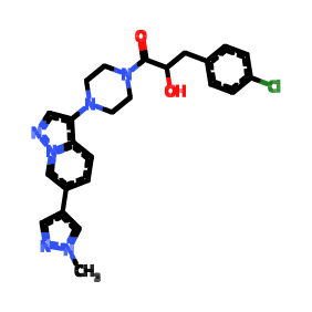 Cn1cc(-c2ccc3c(N4CCN(C(=O)C(O)Cc5ccc(Cl)cc5)CC4)cnn3c2)cn1